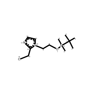 CC(C)(C)[Si](C)(C)OCCn1ccnc1CCl